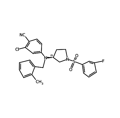 Cc1ccccc1CN(c1ccc(C#N)c(Cl)c1)[C@H]1CCN(S(=O)(=O)c2cccc(F)c2)C1